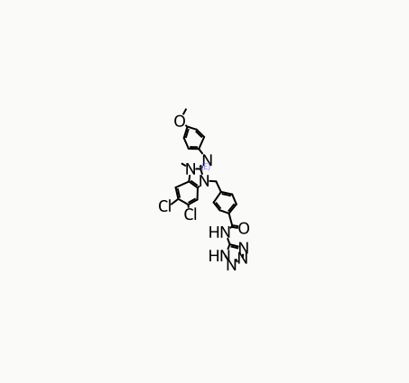 COc1ccc(/N=c2\n(C)c3cc(Cl)c(Cl)cc3n2Cc2ccc(C(=O)Nc3nnn[nH]3)cc2)cc1